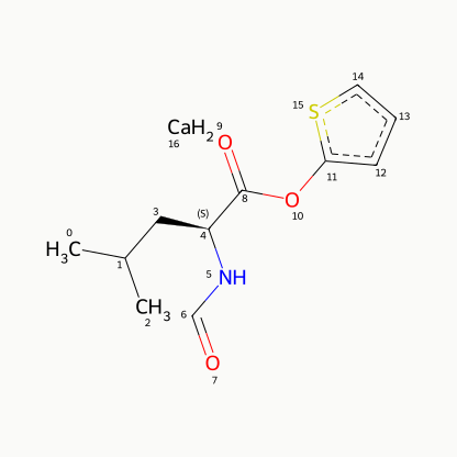 CC(C)C[C@H](NC=O)C(=O)Oc1cccs1.[CaH2]